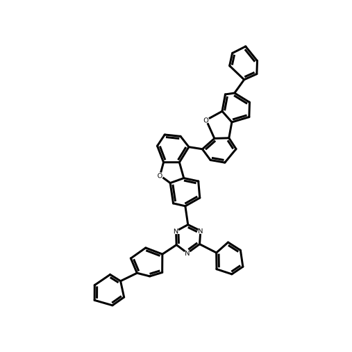 c1ccc(-c2ccc(-c3nc(-c4ccccc4)nc(-c4ccc5c(c4)oc4cccc(-c6cccc7c6oc6cc(-c8ccccc8)ccc67)c45)n3)cc2)cc1